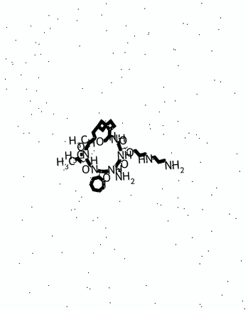 CCC[C@H]1C(=O)N[C@@H](C2CCCCCC2)C(=O)N[C@@H](CN)C(=O)N[C@@H](COCCCNCCCN)C(=O)N[C@H]2CO[C@H](CC3CC4(CCC24)C3)[C@@H](C)C(=O)N1C